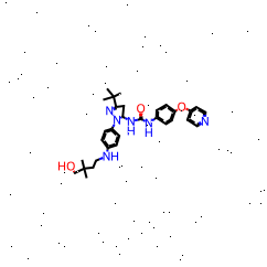 CC(C)(CO)CCNc1ccc(N2N=C(C(C)(C)C)CC2NC(=O)Nc2ccc(Oc3ccncc3)cc2)cc1